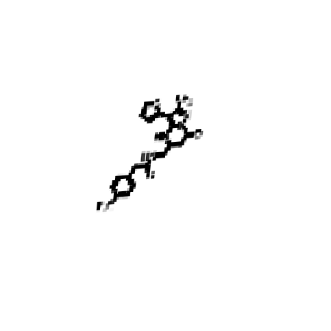 O=C(Cc1ccc(C(F)(F)F)cc1)NCc1cc(=O)n2nc(C(F)(F)F)c(-c3cccs3)c2[nH]1